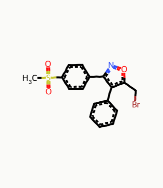 CS(=O)(=O)c1ccc(-c2noc(CBr)c2-c2ccccc2)cc1